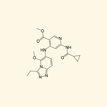 CCc1nnc2ccc(Nc3cc(NC(=O)C4CC4)ncc3C(=O)OC)c(OC)n12